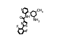 C[C@@H]1C[C@@H](N)C[C@H](c2ccncc2NC(=O)c2csc(-c3c(F)cccc3F)n2)C1